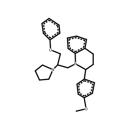 COc1ccc(C2CCc3ccccc3N2CC(COc2ccccc2)N2CCCC2)cc1